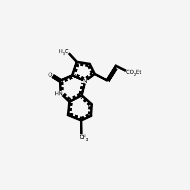 CCOC(=O)/C=C/c1cc(C)c2c(=O)[nH]c3cc(C(F)(F)F)ccc3n12